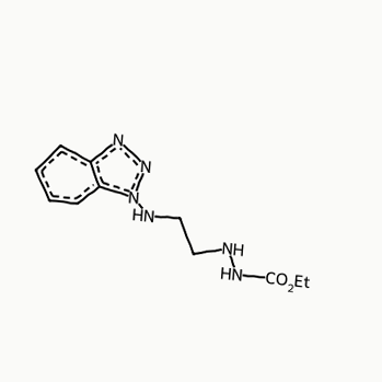 CCOC(=O)NNCCNn1nnc2ccccc21